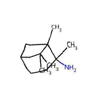 CC1(N)CCC2CC1(C)C2(C)C